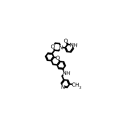 Cc1cncc(CNc2ccc3c(c2)Cc2cccc(C4CN(c5ccc[nH]c5=O)CCO4)c2O3)c1